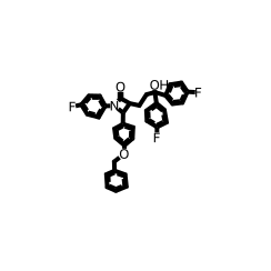 O=C1C(CCC(O)(c2ccc(F)cc2)c2ccc(F)cc2)C(c2ccc(OCc3ccccc3)cc2)N1c1ccc(F)cc1